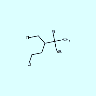 CCCCC(C)(CC)C(CCl)CCCl